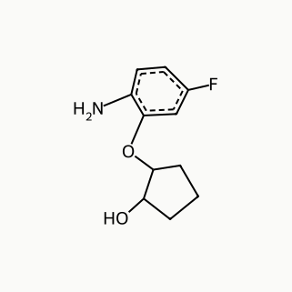 Nc1ccc(F)cc1OC1CCCC1O